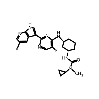 CN(C(=O)N[C@@H]1CCC[C@H](Nc2nc(-c3c[nH]c4ncc(F)cc34)ncc2F)C1)C1CC1